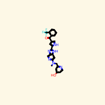 CN(Cc1cc(O)ccn1)c1cc2[nH]c(-c3cc(C(=O)c4ccccc4C(F)(F)F)c[nH]3)nc2cn1